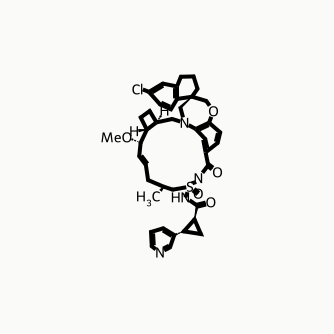 CO[C@H]1/C=C/C[C@H](C)CS(=O)(NC(=O)[C@H]2C[C@@H]2c2cccnc2)=NC(=O)c2ccc3c(c2)N(C[C@@H]2CC[C@H]21)C[C@@]1(CCCc2cc(Cl)ccc21)CO3